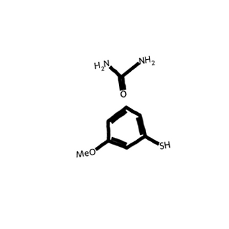 COc1cccc(S)c1.NC(N)=O